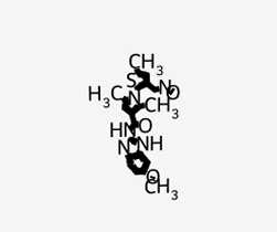 COc1ccc2nc(NC(=O)c3cc(C)n(-c4sc(C)cc4CN=O)c3C)[nH]c2c1